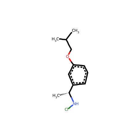 CC(C)COc1cccc([C@@H](C)NCl)c1